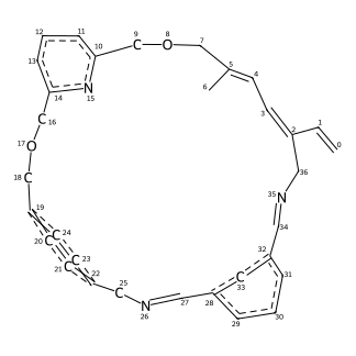 C=C/C1=C\C=C(/C)COCc2cccc(n2)COCc2ccc(cc2)C/N=C/c2cccc(c2)/C=N/C1